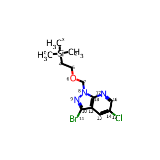 C[Si](C)(C)CCOCn1nc(Br)c2cc(Cl)cnc21